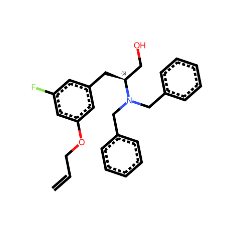 C=CCOc1cc(F)cc(C[C@@H](CO)N(Cc2ccccc2)Cc2ccccc2)c1